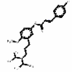 COc1ccc(NC(=O)/C=C/c2ccc(Cl)cc2)cc1CCCN(C(C)C)C(C)C